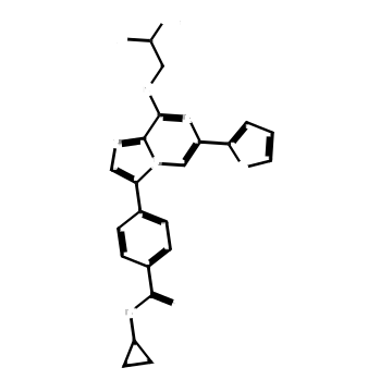 CC(C)CNc1nc(-c2cccs2)cn2c(-c3ccc(C(=O)NC4CC4)cc3)cnc12